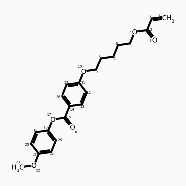 C=CC(=O)OCCCCCOc1ccc(C(=O)Oc2ccc(OC)cc2)cc1